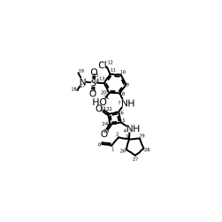 C=CCC1(Nc2c(Nc3ccc(Cl)c(S(=O)(=O)N(C)C)c3O)c(=O)c2=O)CCCC1